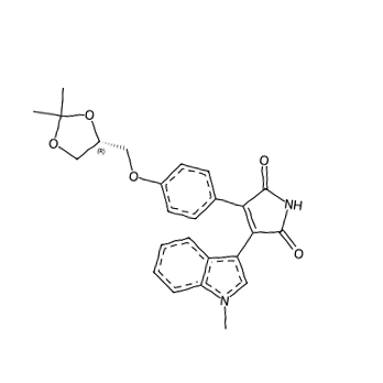 Cn1cc(C2=C(c3ccc(OC[C@@H]4COC(C)(C)O4)cc3)C(=O)NC2=O)c2ccccc21